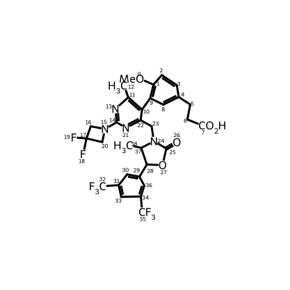 COc1ccc(CCC(=O)O)cc1-c1c(C)nc(N2CC(F)(F)C2)nc1CN1C(=O)OC(c2cc(C(F)(F)F)cc(C(F)(F)F)c2)C1C